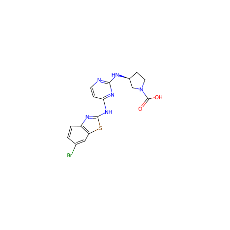 O=C(O)N1CC[C@H](Nc2nccc(Nc3nc4ccc(Br)cc4s3)n2)C1